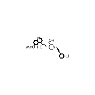 COc1ccc2nccc([C@H](O)CC[C@@H]3CCN(CC#Cc4cccc(Cl)c4)C[C@@H]3CO)c2c1